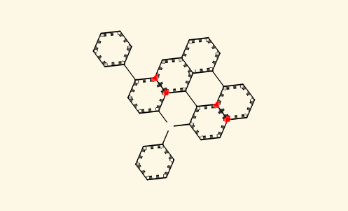 c1ccc(-c2ccc(N(c3ccccc3)c3ccccc3-c3cccc4cccc(-c5ccccc5)c34)cc2)cc1